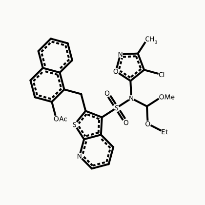 CCOC(OC)N(c1onc(C)c1Cl)S(=O)(=O)c1c(Cc2c(OC(C)=O)ccc3ccccc23)sc2ncccc12